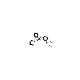 N#Cc1ccc(NC(=O)C(O)(Cc2cccc(C(=O)N3CCOCC3)c2)c2ccccc2)cc1Cl